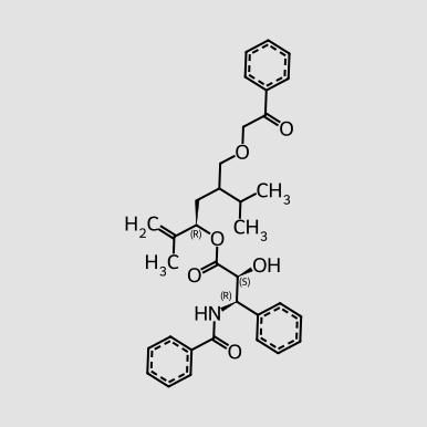 C=C(C)[C@@H](CC(COCC(=O)c1ccccc1)C(C)C)OC(=O)[C@@H](O)[C@H](NC(=O)c1ccccc1)c1ccccc1